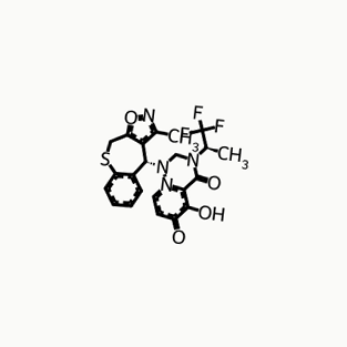 Cc1noc2c1[C@H](N1CN([C@H](C)C(F)(F)F)C(=O)c3c(O)c(=O)ccn31)c1ccccc1SC2